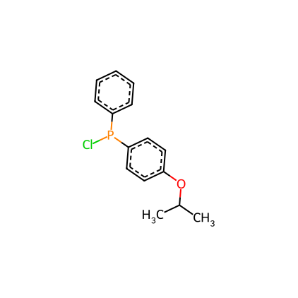 CC(C)Oc1ccc(P(Cl)c2ccccc2)cc1